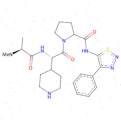 CN[C@@H](C)C(=O)N[C@H](C(=O)N1CCCC1C(=O)Nc1snnc1-c1ccccc1)C1CCNCC1